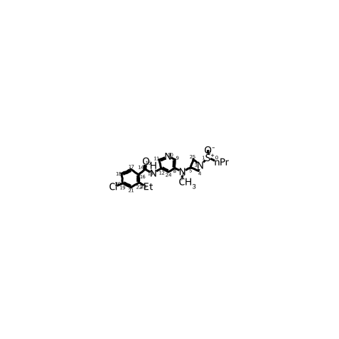 CCC[S+]([O-])N1CC(N(C)c2cncc(NC(=O)c3ccc(Cl)cc3CC)c2)C1